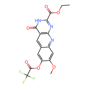 CCOC(=O)c1nc2nc3cc(OC)c(OC(=O)C(F)(F)F)cc3cc2c(=O)[nH]1